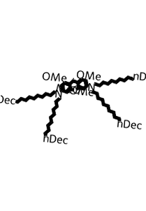 CCCCCCCCCCCCCCCCCCCCN(CCCCCCCCCCCCCCCCCCCC)c1cc(OC)c([CH]c2c(OC)cc(N(CCCCCCCCCCCCCCCCCCCC)CCCCCCCCCCCCCCCCCCCC)cc2OC)c(OC)c1